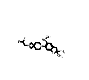 CC1(C)Cc2cc(NO)c(N3CCC4(CC3)CN(CC(F)F)C4)cc2O1